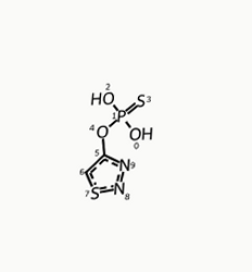 OP(O)(=S)Oc1csnn1